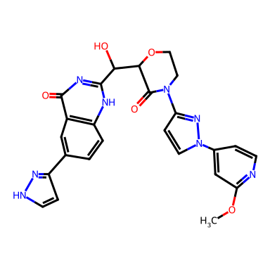 COc1cc(-n2ccc(N3CCOC(C(O)c4nc(=O)c5cc(-c6cc[nH]n6)ccc5[nH]4)C3=O)n2)ccn1